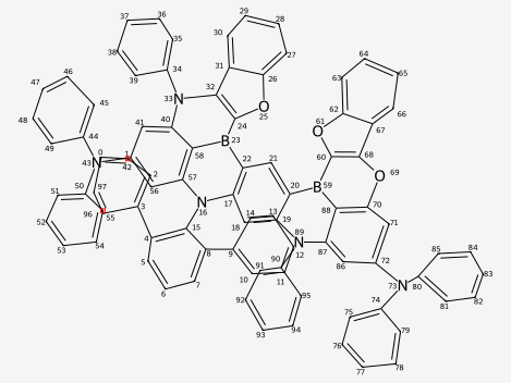 c1ccc(-c2cccc(-c3ccccc3)c2N2c3cc4c(cc3B3c5oc6ccccc6c5N(c5ccccc5)c5cc(N(c6ccccc6)c6ccccc6)cc2c53)B2c3oc5ccccc5c3Oc3cc(N(c5ccccc5)c5ccccc5)cc(c32)N4c2ccccc2)cc1